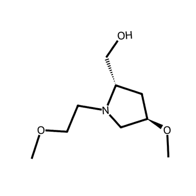 COCCN1C[C@H](OC)C[C@H]1CO